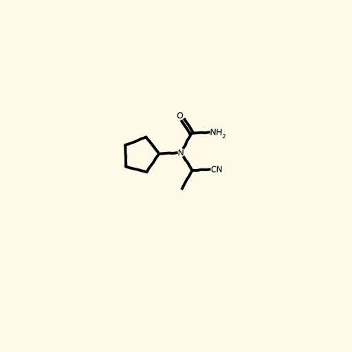 CC(C#N)N(C(N)=O)C1CCCC1